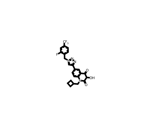 O=C1c2cc(-c3cn(Cc4ccc(C(F)(F)F)cc4F)nn3)ccc2N(CC2CCC2)C(=O)C1O